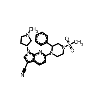 CN1CC[C@H](n2cc(C#N)c3ccc(N4CCN(S(C)(=O)=O)CC4c4ccccc4)nc32)C1